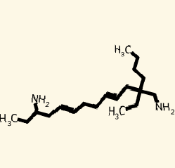 CCCCC(CC)(CN)CC=CCCC=CCC(N)CC